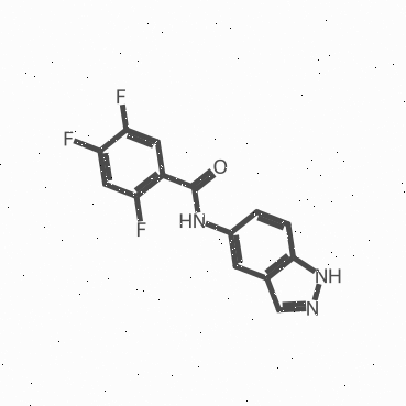 O=C(Nc1ccc2[nH]ncc2c1)c1cc(F)c(F)cc1F